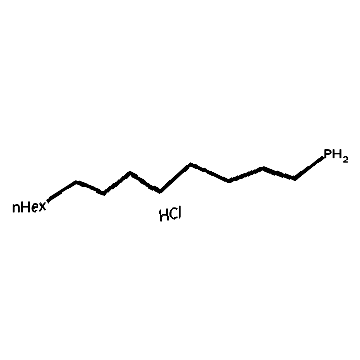 CCCCCCCCCCCCCCP.Cl